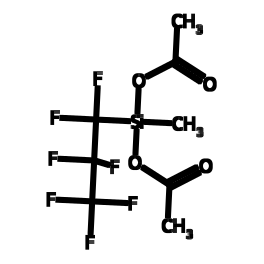 CC(=O)O[Si](C)(OC(C)=O)C(F)(F)C(F)(F)C(F)(F)F